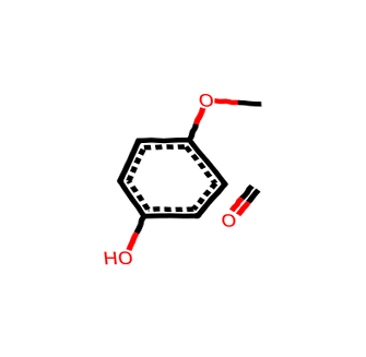 C=O.COc1ccc(O)cc1